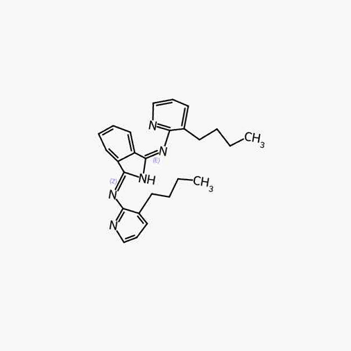 CCCCc1cccnc1/N=C1\N/C(=N/c2ncccc2CCCC)c2ccccc21